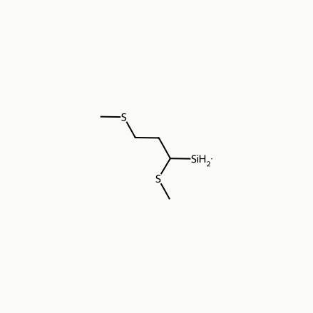 CSCCC([SiH2])SC